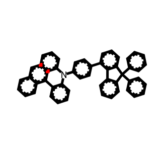 c1ccc(N(c2ccc(-c3cccc4c3-c3ccccc3C4(c3ccccc3)c3ccccc3)cc2)c2ccccc2-c2cccc3ccccc23)cc1